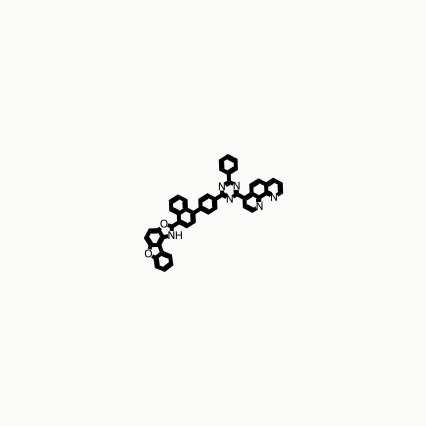 c1ccc(-c2nc(-c3ccc(-c4ccc(C5Nc6c(ccc7oc8ccccc8c67)O5)c5ccccc45)cc3)nc(-c3ccnc4c3ccc3cccnc34)n2)cc1